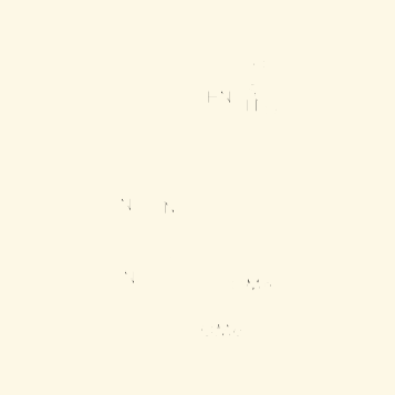 COc1cc2ncc3ncn(Cc4ccc(N[SH](=O)=O)cc4)c3c2cc1OC